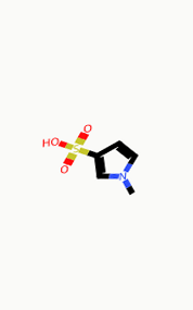 Cn1ccc(S(=O)(=O)O)c1